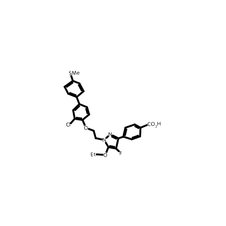 CCOc1c(F)c(-c2ccc(C(=O)O)cc2)nn1CCOc1ccc(-c2ccc(SC)cc2)cc1Cl